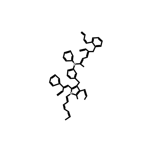 C=C/C=C\c1ccccc1C/C(C=C)=C/C=C(\C)N(c1ccccc1)c1cccc(Cc2c(/C=C\C)c(C)n(/C=C/C=C\C=C/C)c2/C=C(\C=C)c2ccccc2)c1